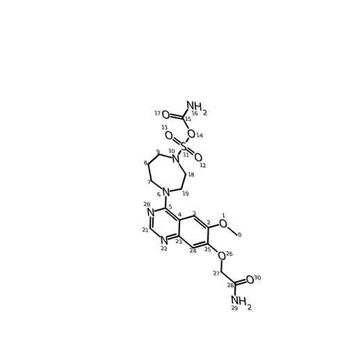 COc1cc2c(N3CCCN(S(=O)(=O)OC(N)=O)CC3)ncnc2cc1OCC(N)=O